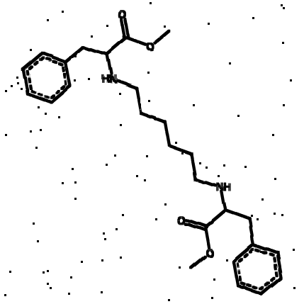 COC(=O)C(Cc1ccccc1)NCCCCCCNC(Cc1ccccc1)C(=O)OC